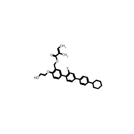 C/C=C(\C)C(=O)OCc1cc(-c2ccc(-c3ccc(C4CCCCC4)cc3)cc2F)ccc1OCCO